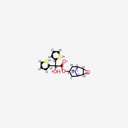 CN1C2CC(OC(=O)C(O)(c3cccs3)c3cccs3)CC1C1OC12